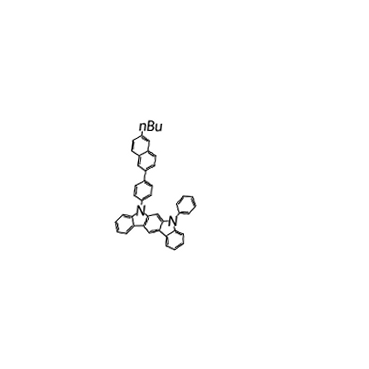 CCCCc1ccc2cc(-c3ccc(-n4c5ccccc5c5cc6c7ccccc7n(-c7ccccc7)c6cc54)cc3)ccc2c1